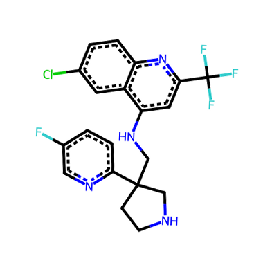 Fc1ccc(C2(CNc3cc(C(F)(F)F)nc4ccc(Cl)cc34)CCNC2)nc1